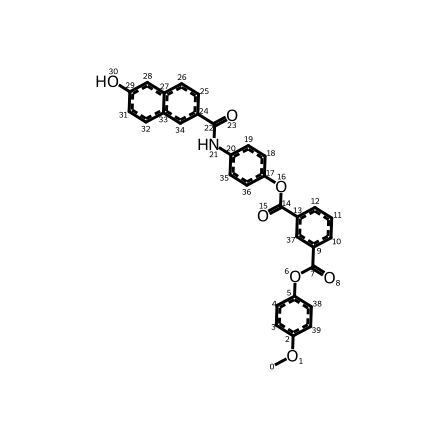 COc1ccc(OC(=O)c2cccc(C(=O)Oc3ccc(NC(=O)c4ccc5cc(O)ccc5c4)cc3)c2)cc1